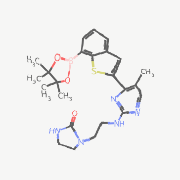 Cc1cnc(NCCN2CCNC2=O)nc1-c1cc2cccc(B3OC(C)(C)C(C)(C)O3)c2s1